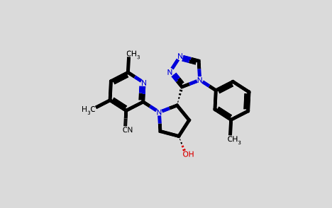 Cc1cccc(-n2cnnc2[C@@H]2C[C@H](O)CN2c2nc(C)cc(C)c2C#N)c1